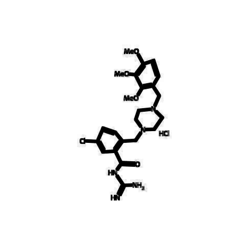 COc1ccc(CN2CCN(Cc3ccc(Cl)cc3C(=O)NC(=N)N)CC2)c(OC)c1OC.Cl